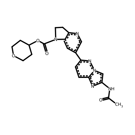 CC(=O)Nc1cn2nc(-c3cnc4c(c3)N(C(=O)OC3CCOCC3)CC4)ccc2n1